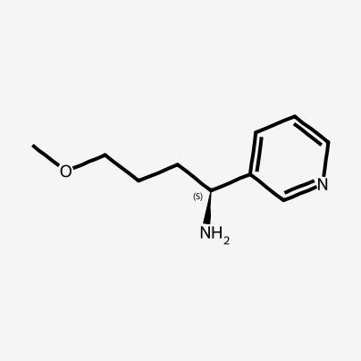 COCCC[C@H](N)c1cccnc1